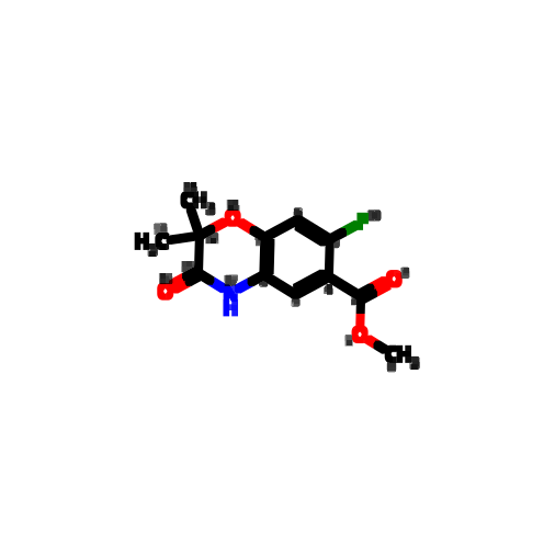 COC(=O)c1cc2c(cc1F)OC(C)(C)C(=O)N2